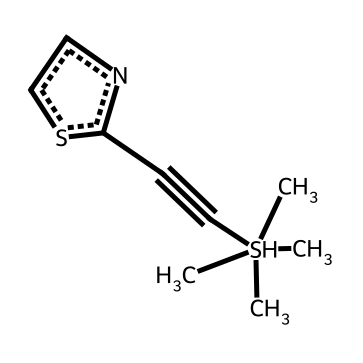 C[SH](C)(C)(C)C#Cc1nccs1